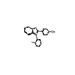 Cc1ccccc1-n1c(-c2ccc(O)cc2)nc2ccccc21